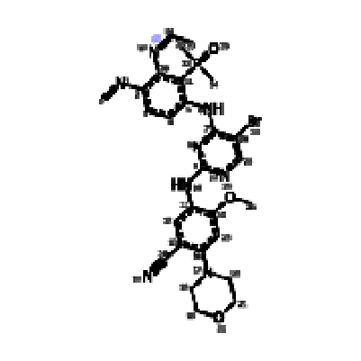 C=Nc1ccc(Nc2nc(Nc3cc(C#N)c(N4CCOCC4)cc3OC)ncc2Br)c(P(C)(C)=O)c1/N=C\C